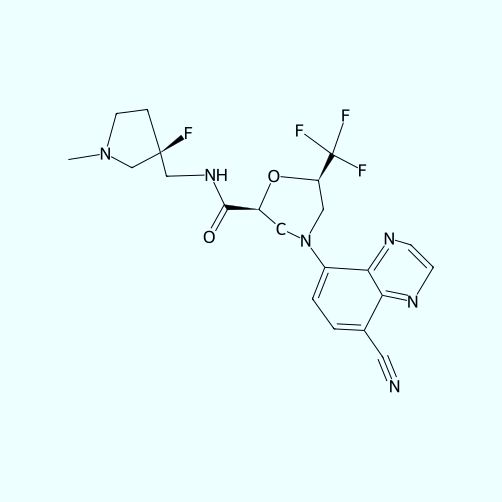 CN1CC[C@](F)(CNC(=O)[C@@H]2CN(c3ccc(C#N)c4nccnc34)C[C@H](C(F)(F)F)O2)C1